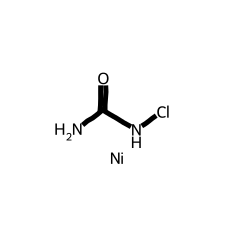 NC(=O)NCl.[Ni]